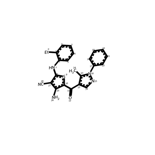 CCc1ccccc1Nc1sc(C(=O)c2cnn(-c3ccccc3)c2C)c(N)c1C#N